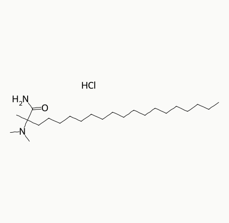 CCCCCCCCCCCCCCCCCCC(C)(C(N)=O)N(C)C.Cl